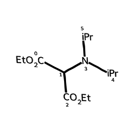 CCOC(=O)C(C(=O)OCC)N(C(C)C)C(C)C